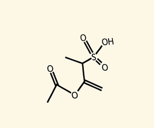 C=C(OC(C)=O)C(C)S(=O)(=O)O